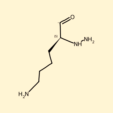 NCCCC[C@@H]([C]=O)NN